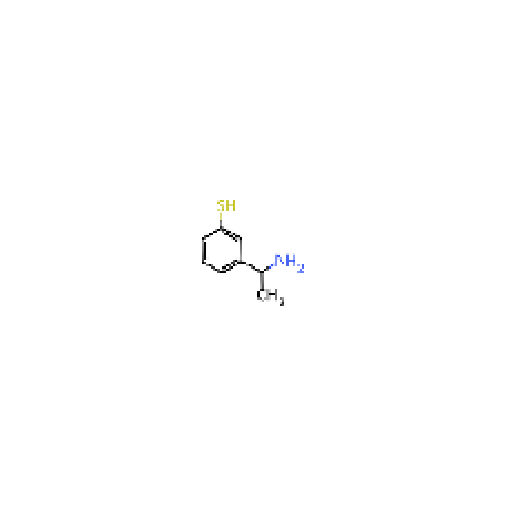 CC(N)c1cccc(S)c1